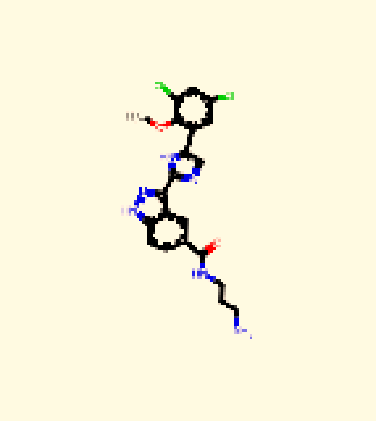 COc1c(Cl)cc(Cl)cc1-c1cnc(-c2n[nH]c3ccc(C(=O)NCCCN)cc23)[nH]1